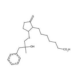 CC(O)(CSC1CCC(=O)C1CCCCCCC(=O)O)Cc1ccccc1